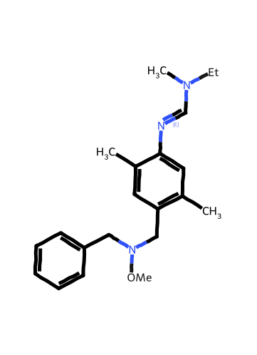 CCN(C)/C=N/c1cc(C)c(CN(Cc2ccccc2)OC)cc1C